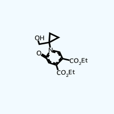 CCOC(=O)c1cc(=O)n(C2(CO)CC2)cc1C(=O)OCC